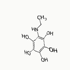 CCNc1c(O)c(O)c(O)c(O)c1O